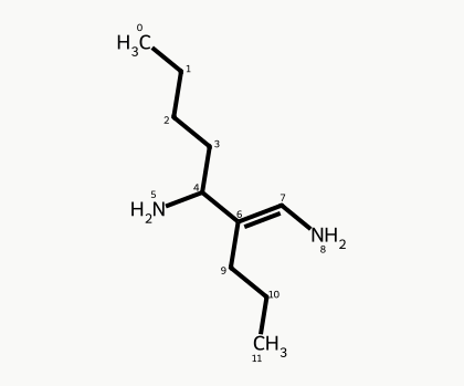 CCCCC(N)C(=CN)CCC